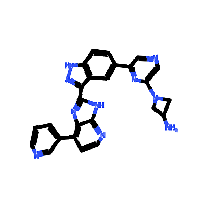 NC1CN(c2cncc(-c3ccc4[nH]nc(-c5nc6c(-c7cccnc7)ccnc6[nH]5)c4c3)n2)C1